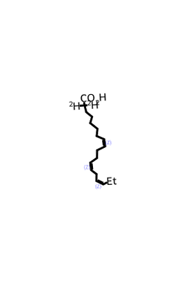 [2H]C([2H])(CCCCC/C=C\CC/C=C\C/C=C\CC)C(=O)O